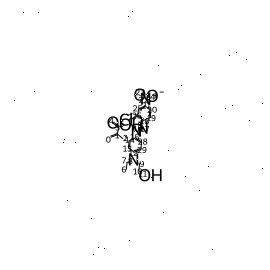 C=C(C)C(=O)O.CCN(CCO)c1ccc(/N=N/c2ccc([N+](=O)[O-])cc2Cl)cc1